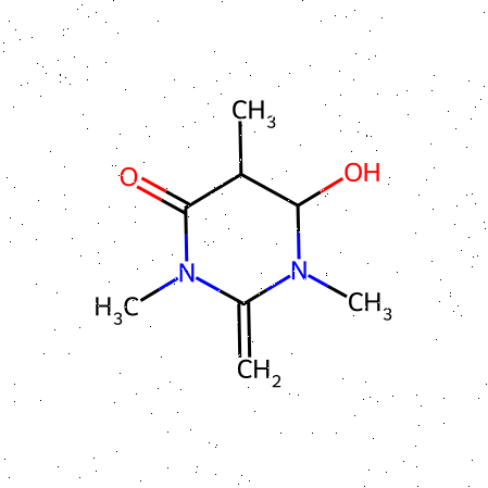 C=C1N(C)C(=O)C(C)C(O)N1C